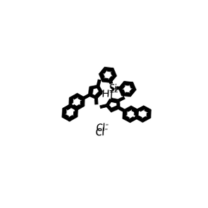 CC1=[C]([Hf+2]([C]2=C(C)C(c3ccc4ccccc4c3)=CC2C)=[Si](c2ccccc2)c2ccccc2)C(C)C=C1c1ccc2ccccc2c1.[Cl-].[Cl-]